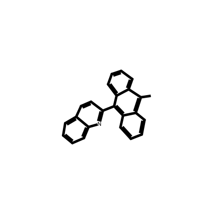 Cc1c2ccccc2c(-c2ccc3ccccc3n2)c2ccccc12